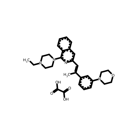 CCN1CCN(c2nc(/C=C(\C)c3cccc(N4CCOCC4)c3)cc3ccccc23)CC1.O=C(O)C(=O)O